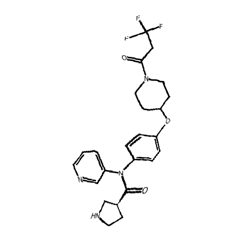 O=C(CC(F)(F)F)N1CCC(Oc2ccc(N(C(=O)[C@H]3CCNC3)c3cccnc3)cc2)CC1